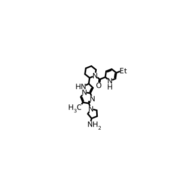 CCC1=CNC(C(=O)N2CCCCC2C2C=C3N=C(N4CCC(N)C4)C(C)=CN3N2)C=C1